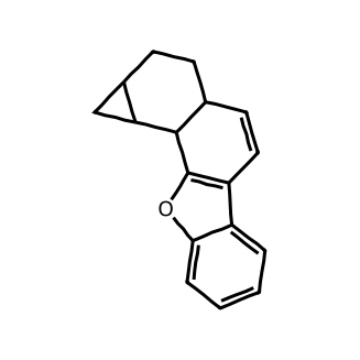 C1=CC2CCC3CC3C2c2oc3ccccc3c21